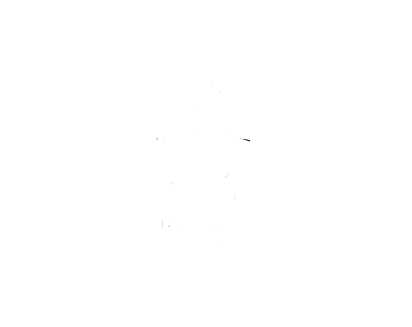 C[C@]12CCOCC1C(=O)c1cc(Br)c(F)cc1O2